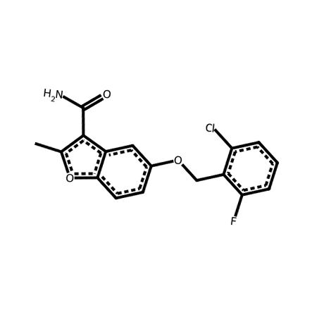 Cc1oc2ccc(OCc3c(F)cccc3Cl)cc2c1C(N)=O